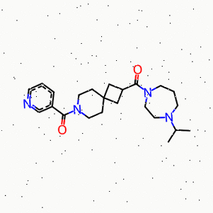 CC(C)N1CCCN(C(=O)C2CC3(CCN(C(=O)c4cccnc4)CC3)C2)CC1